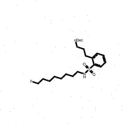 CCCCCCCCCCCCCc1ccccc1S(=O)(=O)NCCCCCCCCF